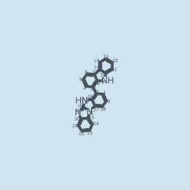 [c]1cc(-c2cccc3c2[nH]c2ccccc23)c2[nH]c3nc4ccccc4n3c2c1